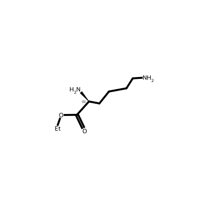 CCOC(=O)[C@@H](N)CCCCN